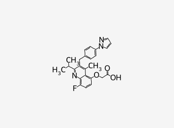 Cc1c(Cc2ccc(-n3cccn3)cc2)c(C(C)C)nc2c(F)ccc(OCC(=O)O)c12